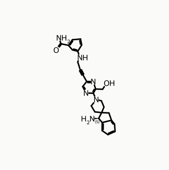 NC(=O)c1cccc(NCC#Cc2cnc(N3CCC4(CC3)Cc3ccccc3[C@H]4N)c(CO)n2)c1